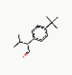 CC(C)C(C=O)c1ccc(C(C)(C)C)cc1